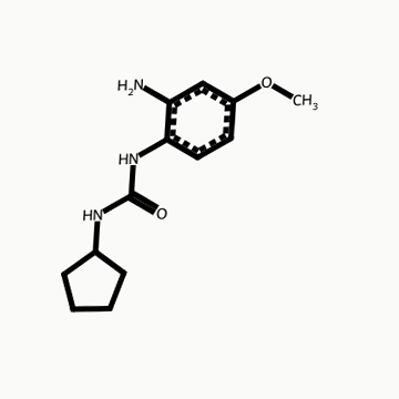 COc1ccc(NC(=O)NC2CCCC2)c(N)c1